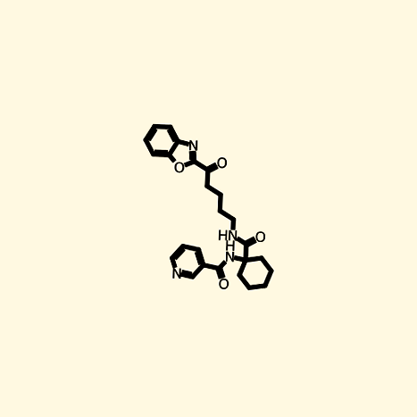 O=C(NC1(C(=O)NCCCCC(=O)c2nc3ccccc3o2)CCCCC1)c1cccnc1